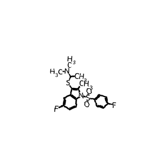 Cc1c(SC(C)N(C)C)c2cc(F)ccc2n1S(=O)(=O)c1ccc(F)cc1